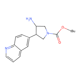 CC(C)(C)OC(=O)N1CC(N)C(c2ccc3ncccc3c2)C1